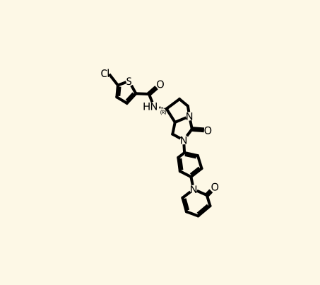 O=C(N[C@@H]1CCN2C(=O)N(c3ccc(-n4ccccc4=O)cc3)CC12)c1ccc(Cl)s1